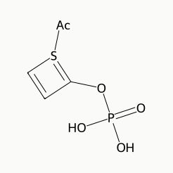 CC(=O)S1=C(OP(=O)(O)O)C=C1